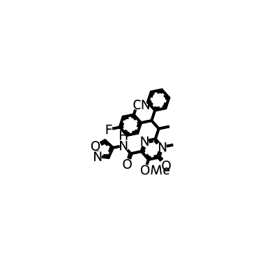 COc1c(C(=O)Nc2cnoc2)nc(C(C)C(c2ccccc2)c2ccc(F)cc2C#N)n(C)c1=O